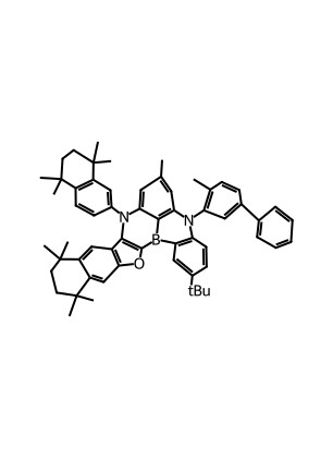 Cc1cc2c3c(c1)N(c1ccc4c(c1)C(C)(C)CCC4(C)C)c1c(oc4cc5c(cc14)C(C)(C)CCC5(C)C)B3c1cc(C(C)(C)C)ccc1N2c1cc(-c2ccccc2)ccc1C